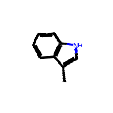 Cc1c[nH]c2ccc[c]c12